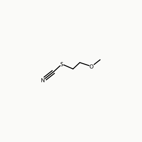 COCCSC#N